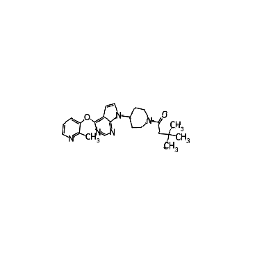 Cc1ncccc1Oc1ncnc2c1ccn2C1CCN(C(=O)CC(C)(C)C)CC1